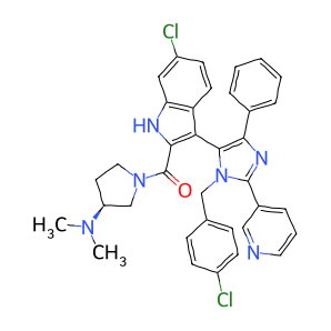 CN(C)[C@H]1CCN(C(=O)c2[nH]c3cc(Cl)ccc3c2-c2c(-c3ccccc3)nc(-c3cccnc3)n2Cc2ccc(Cl)cc2)C1